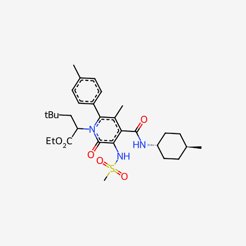 CCOC(=O)C(CC(C)(C)C)n1c(-c2ccc(C)cc2)c(C)c(C(=O)N[C@H]2CC[C@H](C)CC2)c(NS(C)(=O)=O)c1=O